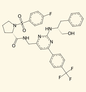 O=C(NCc1cc(-c2ccc(C(F)(F)F)cc2)nc(N[C@@H](CO)Cc2ccccc2)n1)[C@@H]1CCCN1S(=O)(=O)c1ccc(F)cc1